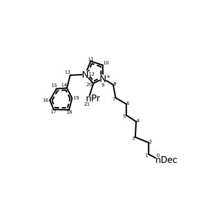 CCCCCCCCCCCCCCCCCC[n+]1ccn(Cc2ccccc2)c1CCC